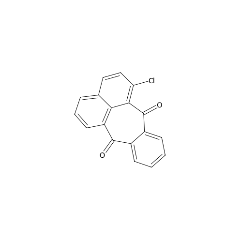 O=C1c2ccccc2C(=O)c2c(Cl)ccc3cccc1c23